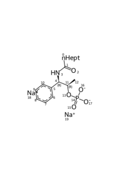 CCCCCCCC(=O)N[C@H](c1ccccc1)[C@@H](C)OP(=O)([O-])[O-].[Na+].[Na+]